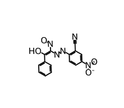 N#Cc1cc([N+](=O)[O-])ccc1/N=N/C(N=O)=C(/O)c1ccccc1